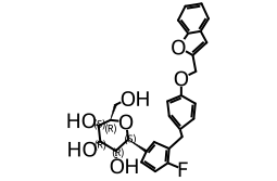 OC[C@H]1O[C@@H](c2ccc(F)c(Cc3ccc(OCc4cc5ccccc5o4)cc3)c2)[C@H](O)[C@@H](O)[C@@H]1O